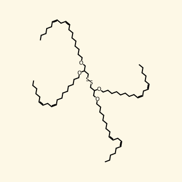 CCCCC/C=C\C/C=C\CCCCCCCCOCC(CSSCC(COCCCCCCCC/C=C\C/C=C\CCCCC)OCCCCCCCC/C=C\C/C=C\CCCCC)OCCCCCCCC/C=C\C/C=C\CCCCC